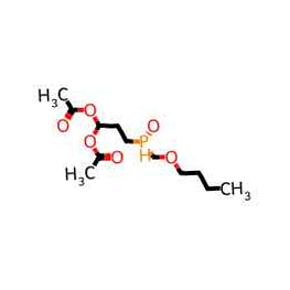 CCCCOC[PH](=O)CCC(OC(C)=O)OC(C)=O